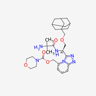 CC(C)(N)C(=O)N[C@@H](COCC12CC3CC(CC(C3)C1)C2)c1nnc2cccc(COC(=O)N3CCOCC3)n12